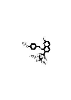 CCC(C)(C)[C@H](NC(=O)c1ccc2ccc(F)nc2c1OCc1ccc(OC(F)(F)F)cc1)C(=O)O